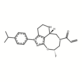 C=CC(=O)N1C[C@H](F)Oc2nn(-c3ccc(C(C)C)cc3)c3c2[C@@H](C1)NCC3